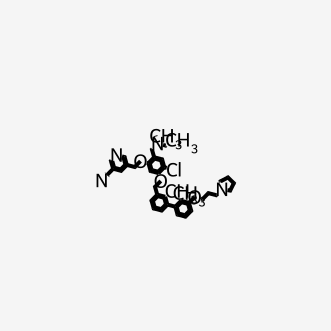 CCN(C)Cc1cc(Cl)c(OCc2cccc(-c3cccc(OCCCN4CCCC4)c3C)c2C)cc1OCc1cncc(C#N)c1